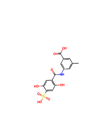 Cc1cc(NC(=O)c2cc(O)c(S(=O)(=O)O)cc2O)cc(C(=O)O)c1